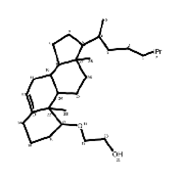 CC(C)CCCC(C)C1CCC2C3CC=C4CCCC(OCCO)C4(C)C3CCC12C